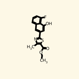 CCOC(=O)c1sc(-c2cc(O)c3c(F)cccc3c2)nc1C